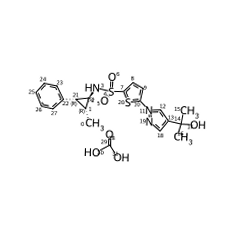 C[C@H]1[C@H](NS(=O)(=O)c2ccc(-n3cc(C(C)(C)O)cn3)s2)[C@H]1c1ccccc1.O=C(O)O